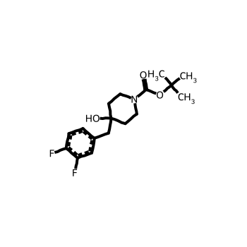 CC(C)(C)OC(=O)N1CCC(O)(Cc2ccc(F)c(F)c2)CC1